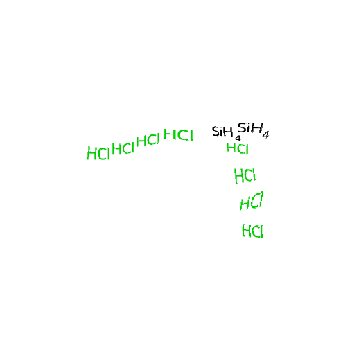 Cl.Cl.Cl.Cl.Cl.Cl.Cl.Cl.[SiH4].[SiH4]